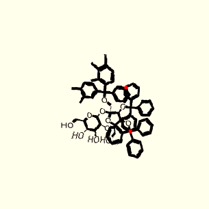 Cc1ccc(C(OC[C@@]2(O[C@H]3O[C@H](CO)[C@@H](O)[C@H](O)[C@H]3O)O[C@H](CO)[C@@H](OC(c3ccccc3)(c3ccccc3)c3ccccc3)[C@@H]2OC(c2ccccc2)(c2ccccc2)c2ccccc2)(c2ccccc2)c2ccc(C)c(C)c2C)cc1C